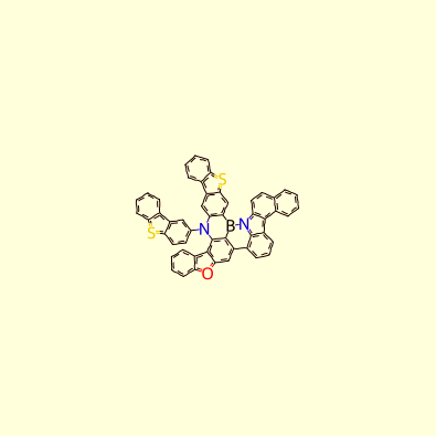 c1ccc2c(c1)ccc1c2c2cccc3c2n1B1c2cc4sc5ccccc5c4cc2N(c2ccc4sc5ccccc5c4c2)c2c1c-3cc1oc3ccccc3c21